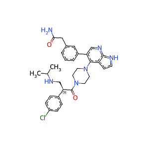 CC(C)NC[C@@H](C(=O)N1CCN(c2c(-c3cccc(CC(N)=O)c3)cnc3[nH]ccc23)CC1)c1ccc(Cl)cc1